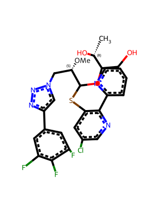 CO[C@@H](Cn1cc(-c2cc(F)c(F)c(F)c2)nn1)C(OC(CO)[C@@H](C)O)Sc1cc(Cl)cnc1-c1ccccn1